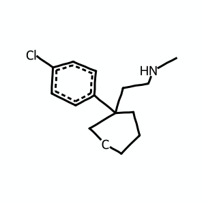 CNCCC1(c2ccc(Cl)cc2)CCCCC1